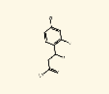 NC(=O)[CH]C(F)c1ccc(Cl)cc1Cl